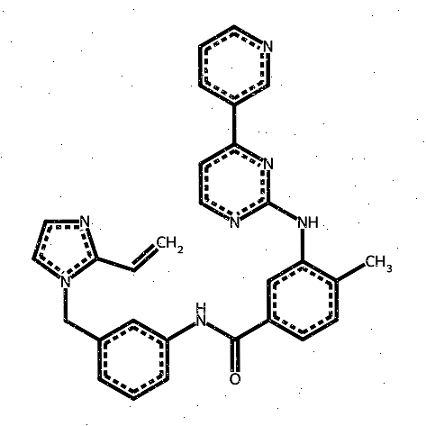 C=Cc1nccn1Cc1cccc(NC(=O)c2ccc(C)c(Nc3nccc(-c4cccnc4)n3)c2)c1